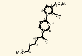 CCOC(=O)c1cnn(-c2ccc(C(=O)NCCCOC)cn2)c1O